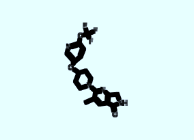 Cc1cc2c(nc1N1CCC(Oc3ccc(OC(F)(F)F)nc3)CC1)CNC2=O